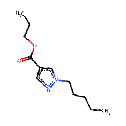 CCCCCn1cc(C(=O)OCCC)cn1